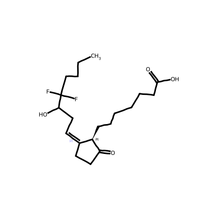 CCCCC(F)(F)C(O)C/C=C1/CCC(=O)[C@@H]1CCCCCCC(=O)O